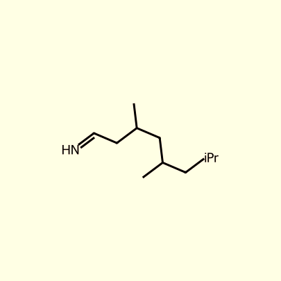 CC(C)CC(C)CC(C)CC=N